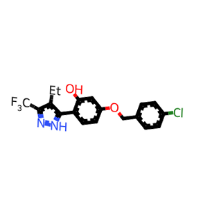 CCc1c(C(F)(F)F)n[nH]c1-c1ccc(OCc2ccc(Cl)cc2)cc1O